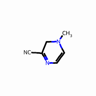 CN1C=CN=C(C#N)C1